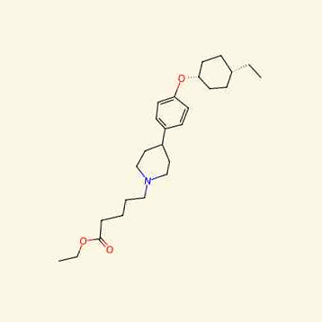 CCOC(=O)CCCCN1CCC(c2ccc(O[C@H]3CC[C@@H](CC)CC3)cc2)CC1